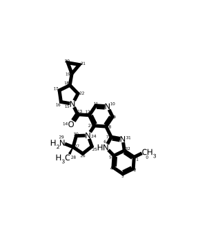 Cc1cccc2[nH]c(-c3cncc(C(=O)N4CCC(C5CC5)C4)c3N3CC[C@](C)(N)C3)nc12